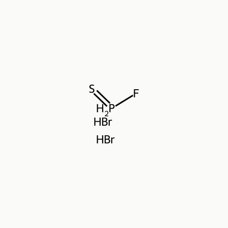 Br.Br.F[PH2]=S